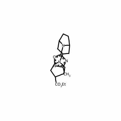 CCOC(=O)C1CCN(C2CC3CCC(C2)N3c2nc(C)no2)CC1